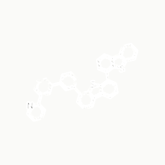 c1ccc(-c2cccc(-c3cccc(-c4cccc5c4sc4c(-c6cccc7c6sc6ccccc67)cccc45)c3)c2)nc1